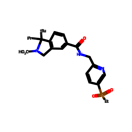 CCS(=O)(=O)c1ccc(CNC(=O)c2ccc3c(c2)CN(C(=O)O)C3(C(C)C)C(C)(C)C)nc1